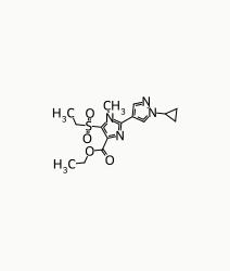 CCOC(=O)c1nc(-c2cnn(C3CC3)c2)n(C)c1S(=O)(=O)CC